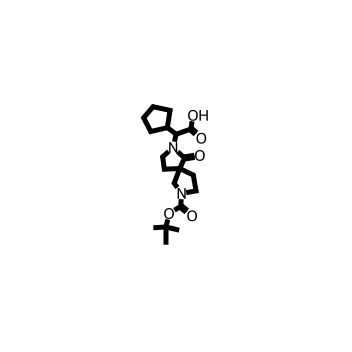 CC(C)(C)OC(=O)N1CCC2(CCN(C(C(=O)O)C3CCCC3)C2=O)C1